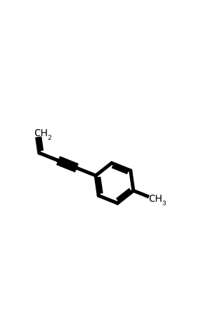 C=CC#Cc1ccc(C)cc1